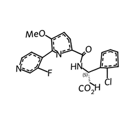 COc1ccc(C(=O)N[C@@H](CC(=O)O)c2ccccc2Cl)nc1-c1ccncc1F